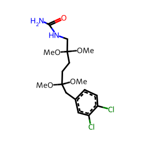 COC(CCC(Cc1ccc(Cl)c(Cl)c1)(OC)OC)(CNC(N)=O)OC